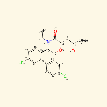 COC(=O)C[C@@H]1O[C@H](c2cccc(Cl)c2)[C@@H](c2ccc(Cl)cc2)N(CC(C)C)C1=O